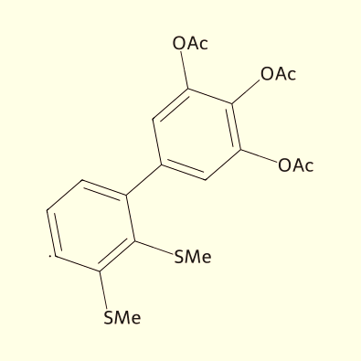 CSc1[c]ccc(-c2cc(OC(C)=O)c(OC(C)=O)c(OC(C)=O)c2)c1SC